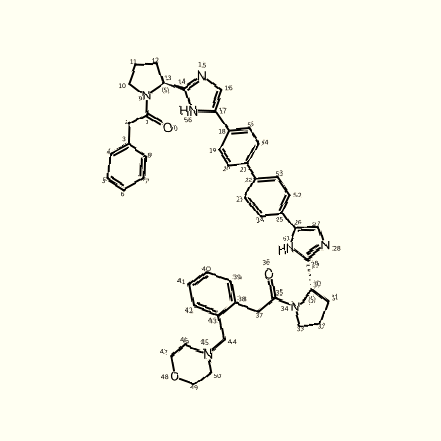 O=C(Cc1ccccc1)N1CCC[C@H]1c1ncc(-c2ccc(-c3ccc(-c4cnc([C@@H]5CCCN5C(=O)Cc5ccccc5CN5CCOCC5)[nH]4)cc3)cc2)[nH]1